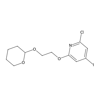 Clc1cc(I)cc(OCCOC2CCCCO2)n1